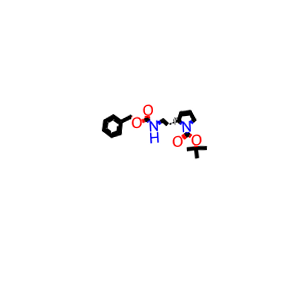 CC(C)(C)OC(=O)N1CC=C[C@H]1CCNC(=O)OCc1ccccc1